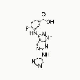 Cn1nc(Nc2cc(C(=O)O)ccc2F)c2cnc(Nc3cncnc3)nc21